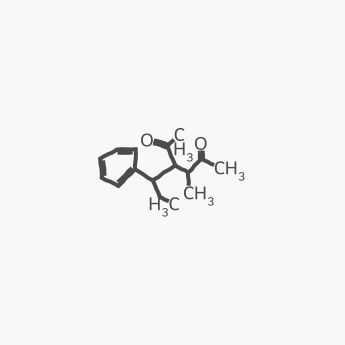 CCC(c1ccccc1)C(C(C)=O)C(C)C(C)=O